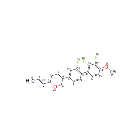 C/C=C/C1CCC(c2ccc(-c3ccc(OCCC)c(F)c3F)c(F)c2)CO1